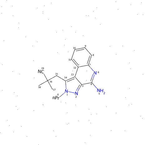 CCCn1nc2c(N)nc3ccccc3c2c1CC(C)(C)C#N